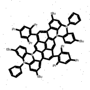 CC(C)c1cc(C(C)C)c(-c2cc3c4c(cc5c(-c6c(C(C)C)cc(C(C)C)cc6C(C)C)cc6c7c(cc2c4c57)B2c4ccc(C(C)(C)C)cc4N(c4ccccc4)c4cc(C(C)(C)C)cc-6c42)B2c4ccc(C(C)(C)C)cc4N(c4ccccc4)c4cc(C(C)(C)C)cc-3c42)c(C(C)C)c1